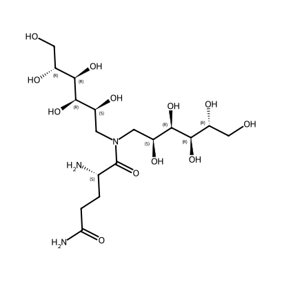 NC(=O)CC[C@H](N)C(=O)N(C[C@H](O)[C@@H](O)[C@H](O)[C@H](O)CO)C[C@H](O)[C@@H](O)[C@H](O)[C@H](O)CO